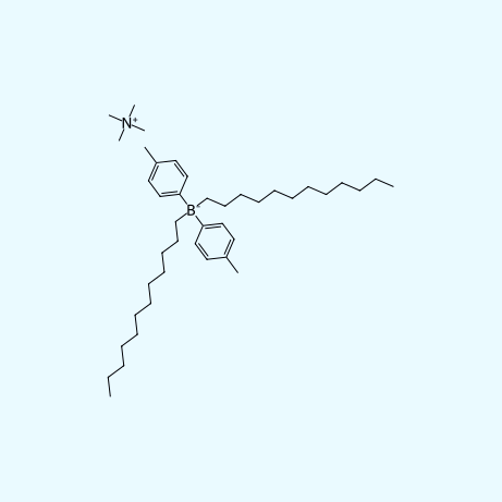 CCCCCCCCCCCC[B-](CCCCCCCCCCCC)(c1ccc(C)cc1)c1ccc(C)cc1.C[N+](C)(C)C